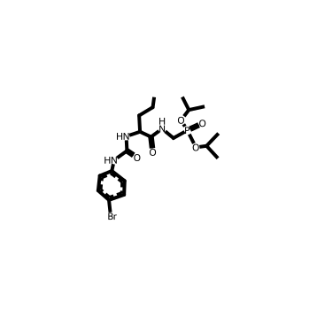 CCCC(NC(=O)Nc1ccc(Br)cc1)C(=O)NCP(=O)(OC(C)C)OC(C)C